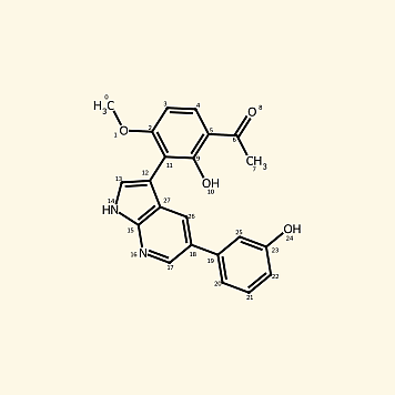 COc1ccc(C(C)=O)c(O)c1-c1c[nH]c2ncc(-c3cccc(O)c3)cc12